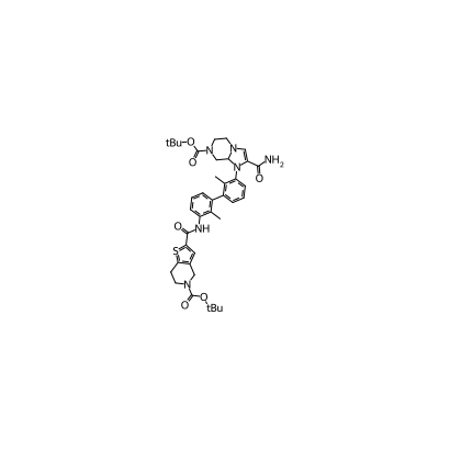 Cc1c(NC(=O)c2cc3c(s2)CCN(C(=O)OC(C)(C)C)C3)cccc1-c1cccc(N2C(C(N)=O)=CN3CCN(C(=O)OC(C)(C)C)CC32)c1C